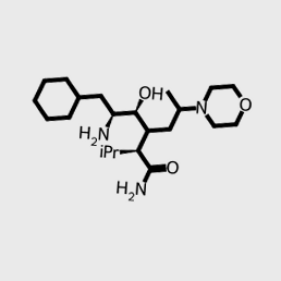 CC(C)[C@H](C(N)=O)C(CC(C)N1CCOCC1)[C@H](O)[C@@H](N)CC1CCCCC1